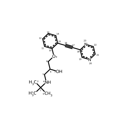 CC(C)(C)NCC(O)COc1ccccc1C#Cc1cnccn1